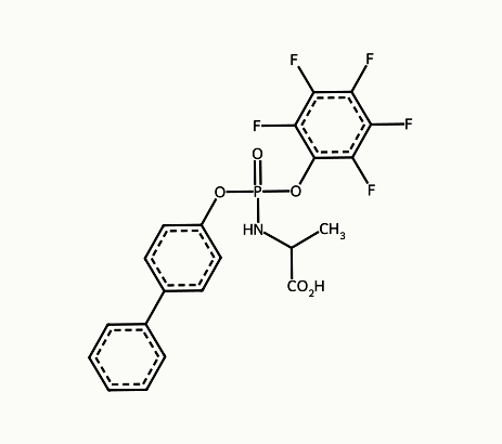 CC(NP(=O)(Oc1ccc(-c2ccccc2)cc1)Oc1c(F)c(F)c(F)c(F)c1F)C(=O)O